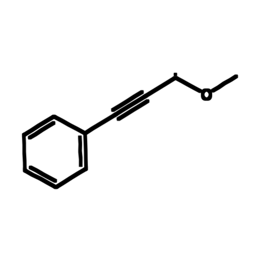 CO[CH]C#Cc1ccccc1